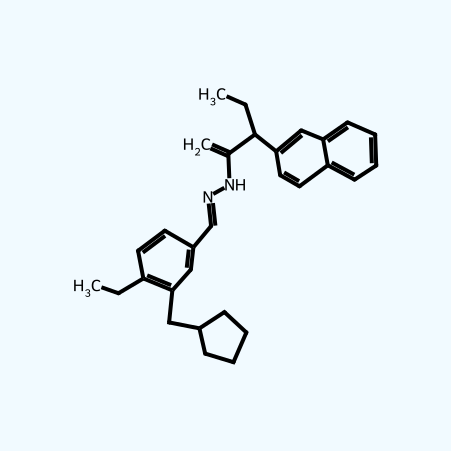 C=C(N/N=C/c1ccc(CC)c(CC2CCCC2)c1)C(CC)c1ccc2ccccc2c1